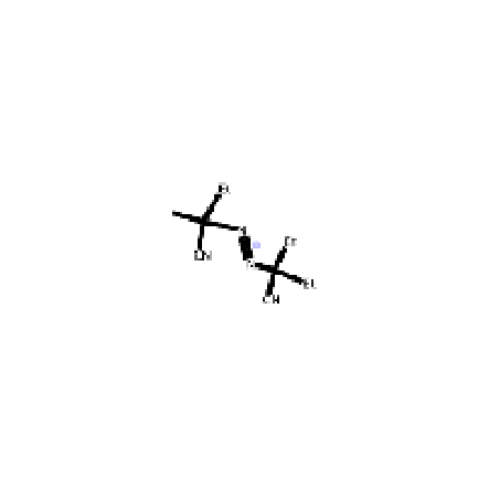 CCC(C)(C#N)/N=N/C(C#N)(CC)CC